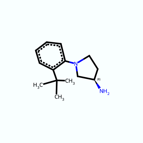 CC(C)(C)c1ccccc1N1CC[C@@H](N)C1